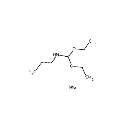 Br.CCCNC(OCC)OCC